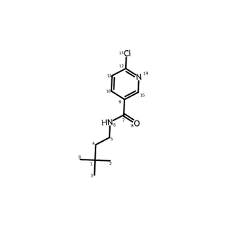 CC(C)(C)CCNC(=O)c1ccc(Cl)nc1